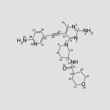 Cc1nc(N)nc(N2CCCC(NC(=O)C3CCOCC3)C2)c1C#Cc1ccc(N)nc1